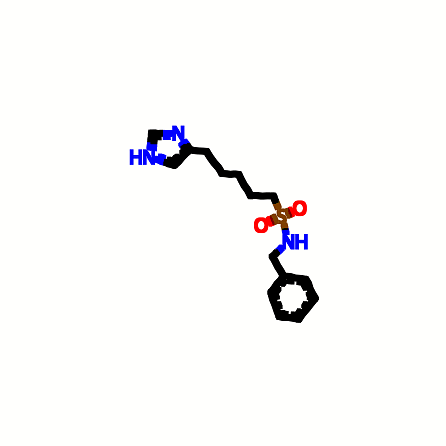 O=S(=O)(CCCCCc1c[nH]cn1)NCc1ccccc1